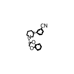 N#Cc1cccc([C@H]2CCCN(C[C@H]3COc4ccccc4O3)C2)c1